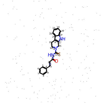 O=C(/C=C/c1ccccc1)NC(=S)N1CCc2c([nH]c3ccccc23)C1